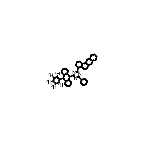 [2H]c1c([2H])c([2H])c(-c2c3ccccc3c(-c3nc(-c4ccccc4)nc(-c4cccc5c4ccc4cc6ccccc6cc45)n3)c3ccccc23)c([2H])c1[2H]